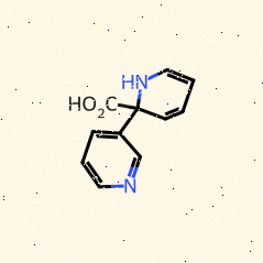 O=C(O)C1(c2cccnc2)C=CC=CN1